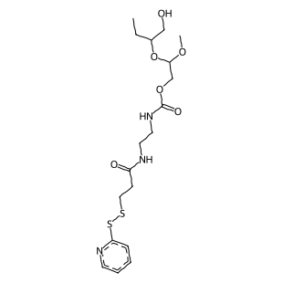 CCC(CO)OC(COC(=O)NCCNC(=O)CCSSc1ccccn1)OC